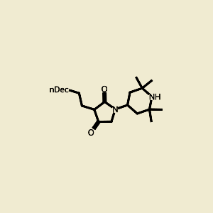 CCCCCCCCCCCCC1C(=O)CN(C2CC(C)(C)NC(C)(C)C2)C1=O